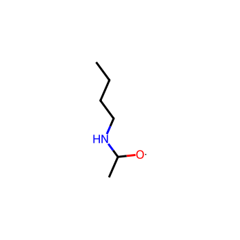 CCCCNC(C)[O]